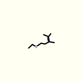 [CH2]CSCCC(C)=C(C)C